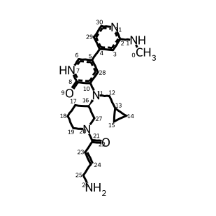 CNc1cc(-c2c[nH]c(=O)c(N(CC3CC3)[C@@H]3CCCN(C(=O)C=CCN)C3)c2)ccn1